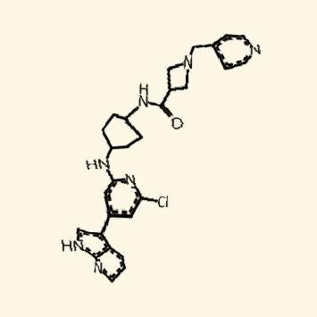 O=C(NC1CCC(Nc2cc(-c3c[nH]c4ncccc34)cc(Cl)n2)CC1)C1CN(Cc2ccncc2)C1